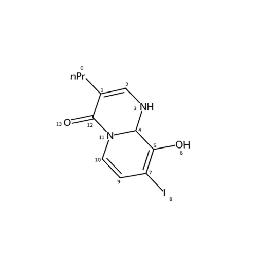 CCCC1=CNC2C(O)=C(I)C=CN2C1=O